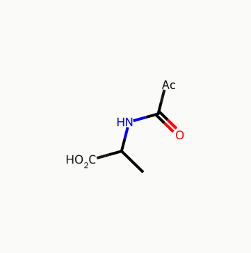 CC(=O)C(=O)NC(C)C(=O)O